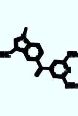 C=C(c1cc(SC)nc(SC)c1)c1ccc2c(c1)c(C=O)cn2C